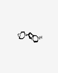 C1=Cn2cc(N3CCOCC3)cc2CN1